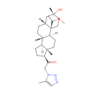 COC(C)[C@]12CC[C@@](C)(O)C[C@H]1CC[C@H]1[C@@H]3CC[C@H](C(=O)Cn4nncc4C)[C@@]3(C)CC[C@@H]12